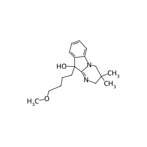 COCCCCC1(O)C2=NCC(C)(C)CN2c2ccccc21